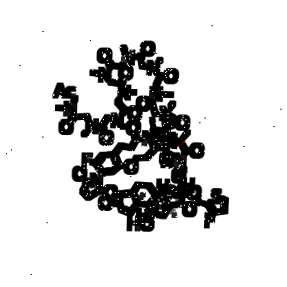 CC(=O)CN(C)C(=O)CN(C)C(=O)CN(C)C(=O)CN(C)C(=O)CN(C)C(=O)CN(C)C(=O)CN(C)C(=O)CN(C)C(=O)CN(C)C(=O)CN(C)C(=O)CCCOc1cc(N2C(=O)C=CC2=O)c(F)cc1CCC(=O)N[C@@H](C)C(=O)N[C@@H](C)C(=O)NCOCC(=O)[C@@]12O[C@H](c3sccc3F)O[C@@H]1C[C@H]1[C@@H]3CCC4=CC(=O)C=C[C@]4(C)[C@H]3[C@@H](O)C[C@@]12C